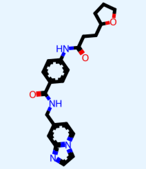 O=C(CCC1CCCO1)Nc1ccc(C(=O)NCc2ccn3ccnc3c2)cc1